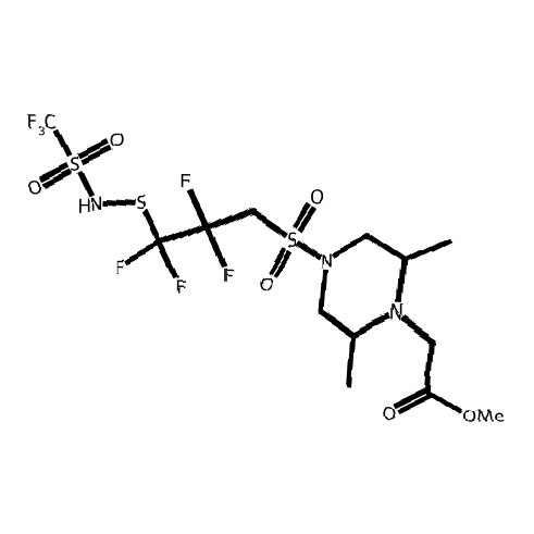 COC(=O)CN1C(C)CN(S(=O)(=O)CC(F)(F)C(F)(F)SNS(=O)(=O)C(F)(F)F)CC1C